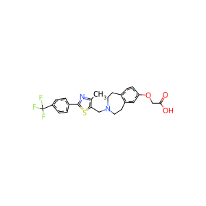 Cc1nc(-c2ccc(C(F)(F)F)cc2)sc1CN1CCc2ccc(OCC(=O)O)cc2CC1